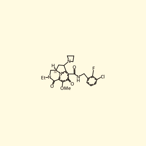 CCN1C[C@@H]2CC(N3CCC3)c3c(C(=O)NCc4cccc(Cl)c4F)c(=O)c(OC)c(n32)C1=O